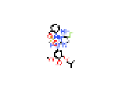 COc1cc(Nc2ncc(F)c(Nc3cccc(C)c3NS(C)(=O)=O)n2)cc(OCC(C)C)c1OC